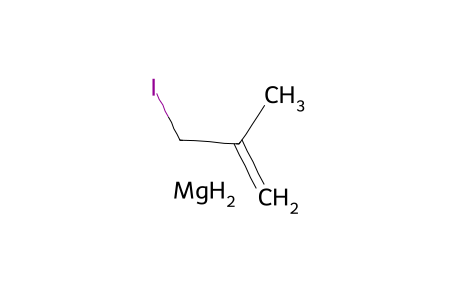 C=C(C)CI.[MgH2]